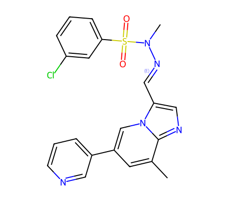 Cc1cc(-c2cccnc2)cn2c(/C=N/N(C)S(=O)(=O)c3cccc(Cl)c3)cnc12